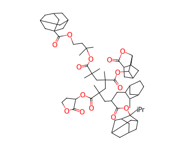 CC1C2CCC(C2)C1CC(CC(C)(CC(C)(CC(C)(C)C(=O)OC(C)(C)CCOC(=O)C12CC3CC(CC(C3)C1)C2)C(=O)OC1C2CC3C(=O)OC1C3C2)C(=O)OC1CCOC1=O)C(=O)OC1(C(C)C)C2CC3CC(C2)CC1C3